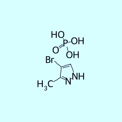 Cc1n[nH]cc1Br.O=P(O)(O)O